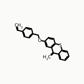 C=Cc1ccc(COc2ccc3c(c2)C(=C)c2ccccc2S3)cc1